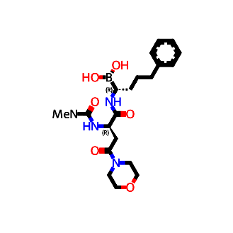 CNC(=O)N[C@H](CC(=O)N1CCOCC1)C(=O)N[C@@H](CCCc1ccccc1)B(O)O